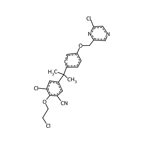 CC(C)(c1ccc(OCc2cncc(Cl)n2)cc1)c1cc(Cl)c(OCCCl)c(C#N)c1